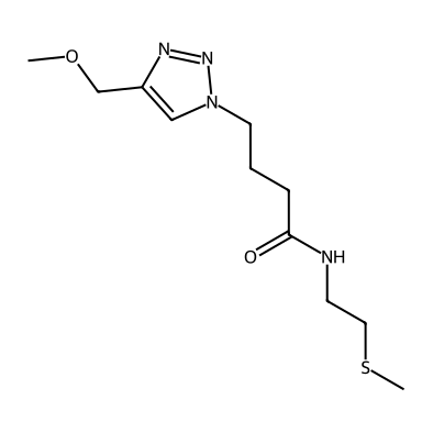 COCc1cn(CCCC(=O)NCCSC)nn1